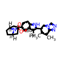 Cc1c(-c2[nH]c3ccc(B4C[C@H]5CC[C@@H](C4)N5C(=O)OC(C)(C)C)cc3c2C(C)C)cn2cnnc2c1C